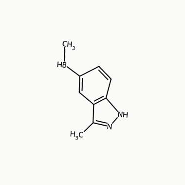 CBc1ccc2[nH]nc(C)c2c1